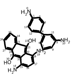 Nc1ccc(-c2cccc(N)c2)cc1.Nc1ccc(N)c2c(O)c3ccccc3c(O)c12